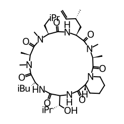 C=C[C@H](C)C[C@@H]1NC(=O)[C@H](CC(C)C)N(C)C(=O)[C@H](C)N(C)C(=O)C([C@@H](C)CC)NC(=O)C([C@H](O)C(C)C)NC(=O)[C@H]2CCCCN2C(=O)[C@H](C)N(C)C1=O